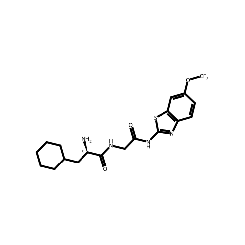 N[C@H](CC1CCCCC1)C(=O)NCC(=O)Nc1nc2ccc(OC(F)(F)F)cc2s1